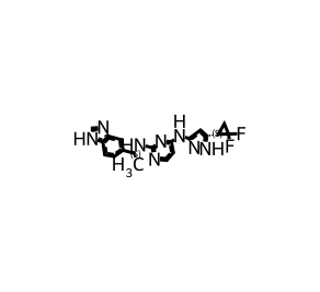 C[C@H](Nc1nccc(Nc2cc([C@@H]3CC3(F)F)[nH]n2)n1)c1ccc2[nH]cnc2c1